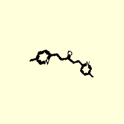 Cc1ccc(CCC(=O)CCc2ccc(C)cn2)nc1